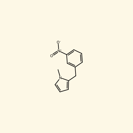 Cn1cccc1Cc1cccc([N+](=O)[O-])c1